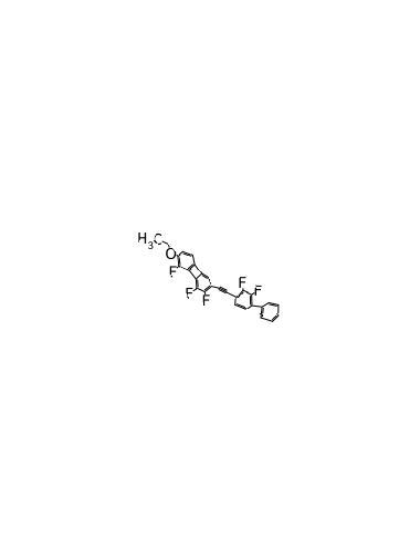 CCOc1ccc2c(c1F)-c1c-2cc(C#Cc2ccc(-c3ccccc3)c(F)c2F)c(F)c1F